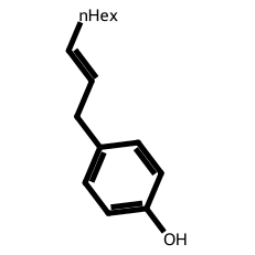 CCCCCCC=CCc1ccc(O)cc1